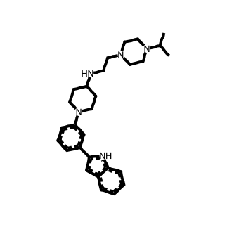 CC(C)N1CCN(CCNC2CCN(c3cccc(-c4cc5ccccc5[nH]4)c3)CC2)CC1